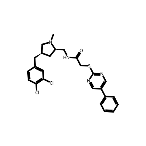 CN1C[C@H](Cc2ccc(Cl)c(Cl)c2)C[C@@H]1CNC(=O)CSc1ncc(-c2ccccc2)cn1